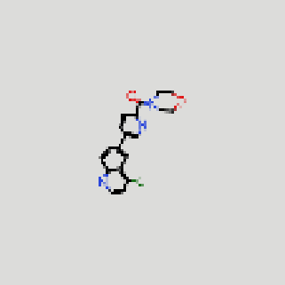 O=C(c1ccc(-c2ccc3nccc(Cl)c3c2)cn1)N1CCOCC1